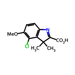 COc1ccc2c(c1Cl)C(C)(C)C(C(=O)O)=N2